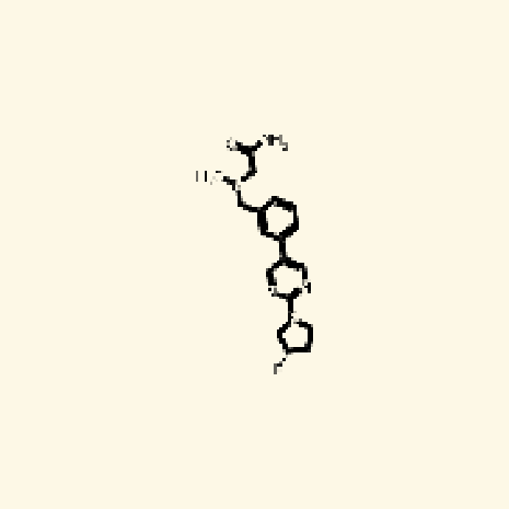 CN(CC(N)=O)Cc1cccc(-c2cnc(N3CC[C@H](F)C3)nc2)c1